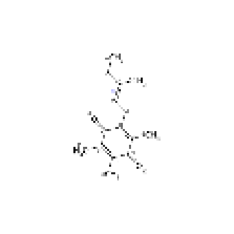 CC/C(C)=C/CC1=C(C)C(=O)C(C)=C(C)C1=O